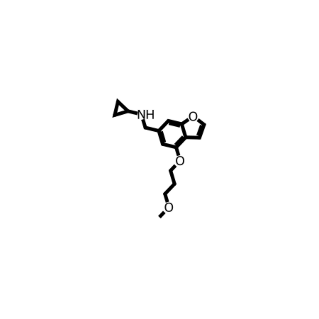 COCCCOc1cc(CNC2CC2)cc2occc12